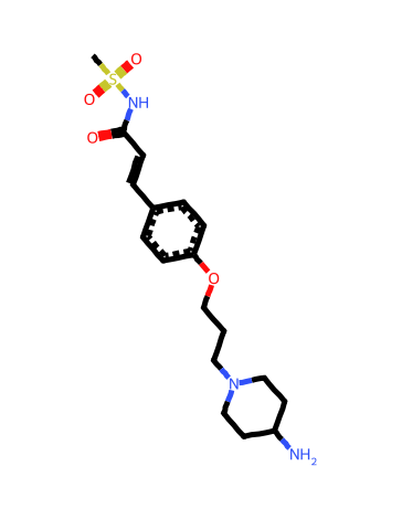 CS(=O)(=O)NC(=O)/C=C/c1ccc(OCCCN2CCC(N)CC2)cc1